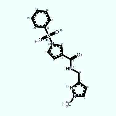 Cn1ccc(CNC(=O)c2ccn(S(=O)(=O)c3ccccc3)c2)n1